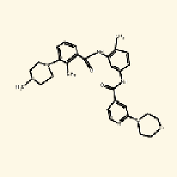 Cc1ccc(NC(=O)c2ccnc(N3CCOCC3)c2)cc1NC(=O)c1cccc(N2CCN(C)CC2)c1N